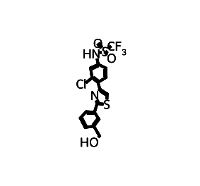 O=S(=O)(Nc1ccc(-c2csc(-c3cccc(CO)c3)n2)c(Cl)c1)C(F)(F)F